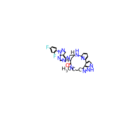 CN1CCCc2n[nH]c3nccc(c23)-c2cccc(n2)N[C@H]2C[C@@H](C1=O)N(c1ncnc3c1cnn3-c1ccc(F)cc1F)C2